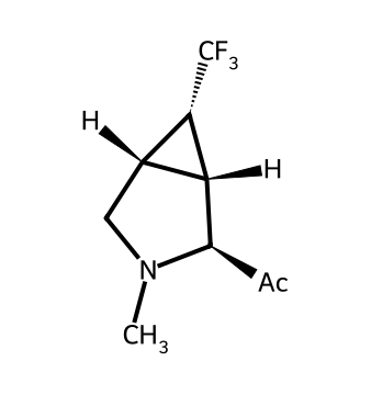 CC(=O)[C@@H]1[C@@H]2[C@H](CN1C)[C@@H]2C(F)(F)F